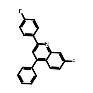 Fc1ccc(-c2cc(-c3ccccc3)c3ccc(F)cc3n2)cc1